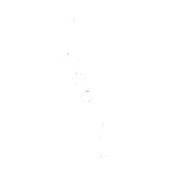 CCCCCC[C@@H]1CO[C@@H](c2ccc(-c3ccc([C@H]4CC[C@H](CCCCC)CC4)cc3)cc2)CO1